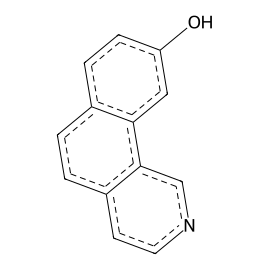 Oc1ccc2ccc3ccncc3c2c1